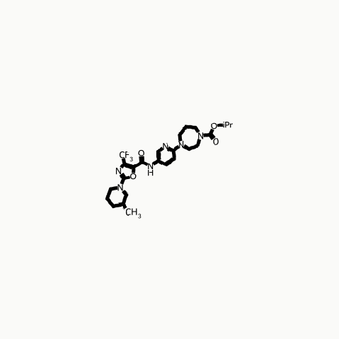 CC1CCCN(c2nc(C(F)(F)F)c(C(=O)Nc3ccc(N4CCCN(C(=O)OC(C)C)CC4)nc3)o2)C1